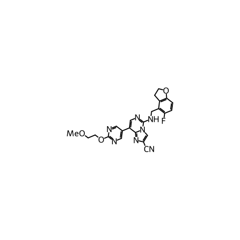 COCCOc1ncc(-c2cnc(NCc3c(F)ccc4c3CCO4)n3cc(C#N)nc23)cn1